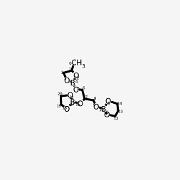 CC1COB(OCC(COB2OCCCO2)OB2OCCO2)O1